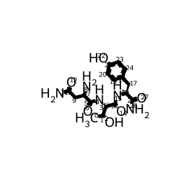 CC(O)[C@H](NC(=O)C(N)CC(N)=O)C(=O)N[C@@H](Cc1ccc(O)cc1)C(N)=O